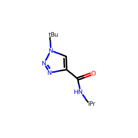 CC(C)NC(=O)c1cn(C(C)(C)C)nn1